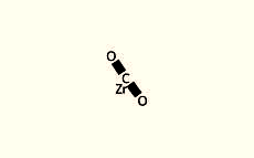 O=C=O.[Zr]